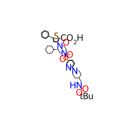 CC(C)(C)OC(=O)NCC1CCN(c2ccc(S(=O)(=O)N3CC(=O)N(c4cc(-c5ccccc5)sc4C(=O)O)[C@H](C4CCCCC4)C3)cn2)CC1